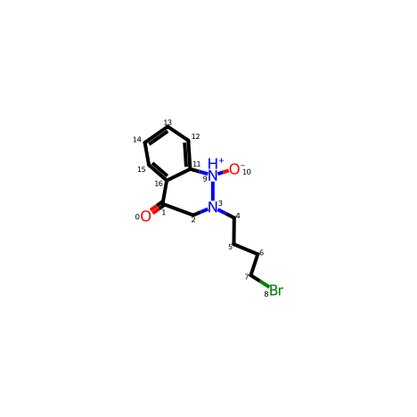 O=C1CN(CCCCBr)[NH+]([O-])c2ccccc21